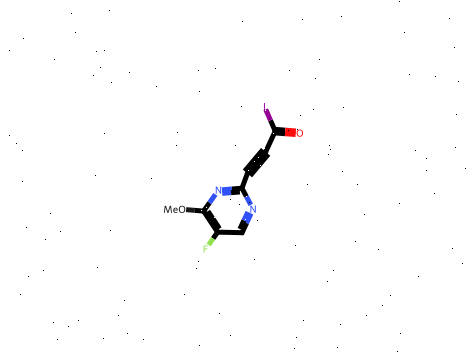 COc1nc(C#CC(=O)I)ncc1F